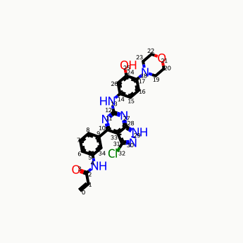 C=CC(=O)Nc1cccc(-c2nc(Nc3ccc(N4CCOCC4)c(O)c3)nc3[nH]nc(Cl)c23)c1